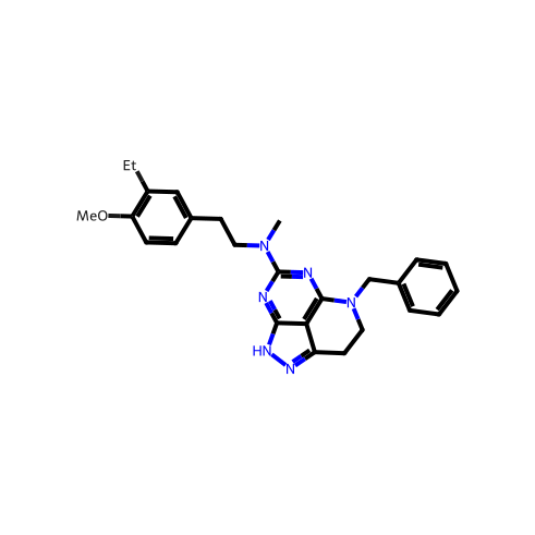 CCc1cc(CCN(C)c2nc3c4c(n[nH]c4n2)CCN3Cc2ccccc2)ccc1OC